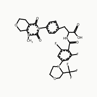 Cn1c2c(c(=O)n(-c3ccc(CC(NC(=O)c4c(F)cc(N5CCOCC5C(F)(F)F)cc4F)C(=O)O)cc3)c1=O)CCOC2